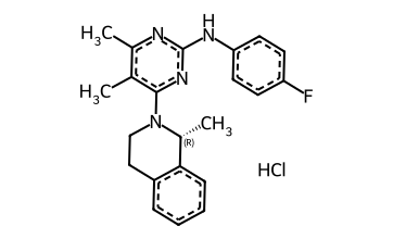 Cc1nc(Nc2ccc(F)cc2)nc(N2CCc3ccccc3[C@H]2C)c1C.Cl